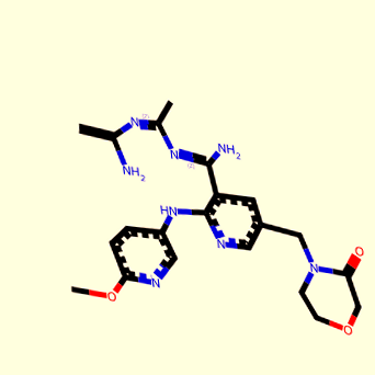 C=C(N)/N=C(C)\N=C(/N)c1cc(CN2CCOCC2=O)cnc1Nc1ccc(OC)nc1